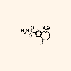 NS(=O)(=O)c1cc2c(s1)S(=O)(=O)CCCC2=O